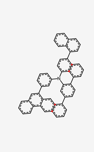 c1ccc(-c2ccc(-c3ccccc3)c(N(c3ccc(-c4cccc5ccccc45)cc3)c3cccc(-c4cc5ccccc5c5ccccc45)c3)c2)cc1